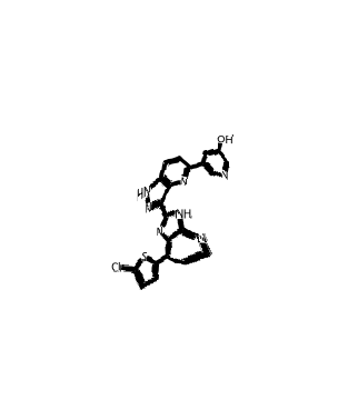 Oc1cncc(-c2ccc3[nH]nc(-c4nc5c(-c6ccc(Cl)s6)ccnc5[nH]4)c3n2)c1